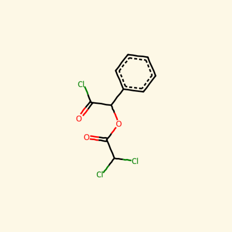 O=C(OC(C(=O)Cl)c1ccccc1)C(Cl)Cl